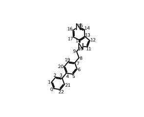 c1ccc(-c2ccc(CCn3ccc4cnccc43)cc2)cc1